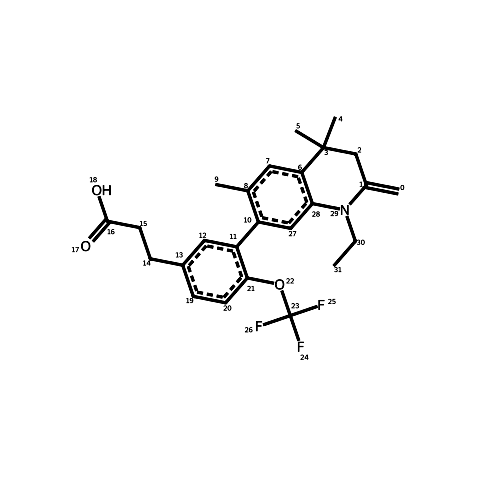 C=C1CC(C)(C)c2cc(C)c(-c3cc(CCC(=O)O)ccc3OC(F)(F)F)cc2N1CC